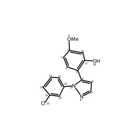 COc1ccc(-c2ccnn2-c2cccc(Cl)c2)c(O)c1